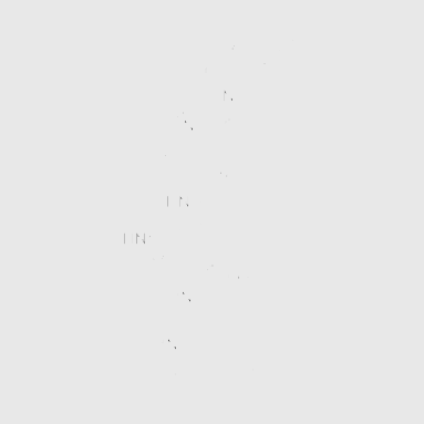 Cc1ccnc(N2CC(=N)/C(=C\Nc3ccc(N4CC[C@H](F)C4)nc3)C2=O)c1